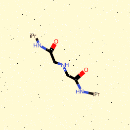 CC(C)NC(=O)CNCC(=O)NC(C)C